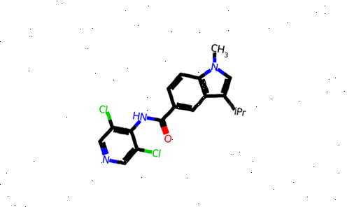 CC(C)c1cn(C)c2ccc(C(=O)Nc3c(Cl)cncc3Cl)cc12